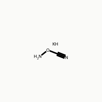 N#CON.[KH]